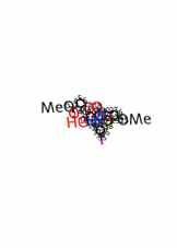 COC(=O)c1cccc(OC2=CC(O)N(C)c3c2c(=O)n(Cc2ccc(OC)cc2)c(=O)n3-c2ccc(I)cc2F)c1C